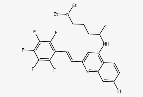 CCN(CC)CCCC(C)Nc1cc(/C=C/c2c(F)c(F)c(F)c(F)c2F)nc2cc(Cl)ccc12